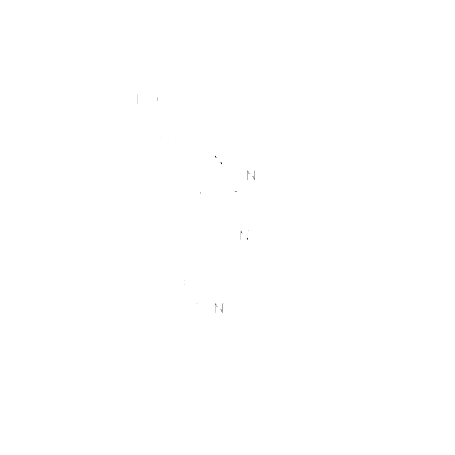 O=C(O)c1ccccc1CN1CN(c2ccccc2)C2(CCN(CCCN3C(=O)Cc4ccccc43)CC2)C1=O